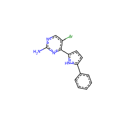 Nc1ncc(Br)c(-c2ccc(-c3ccccc3)[nH]2)n1